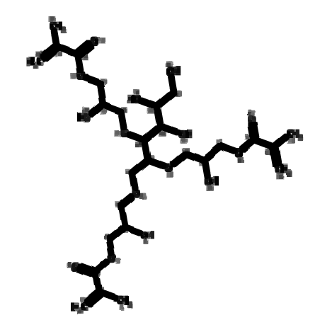 C=C(C)C(=O)OCC(O)COCC(OCC(O)COC(=O)C(=C)C)C(OCC(O)COC(=O)C(=C)C)C(O)C(O)CO